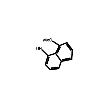 COc1cccc2cccc([NH])c12